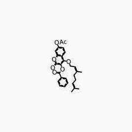 CC(=O)Oc1ccc2c(OCC=C(C)CCC=C(C)C)c(OC(=O)c3ccccc3)c(=O)oc2c1